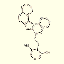 Oc1cccc(O)c1CCc1cc2ccccc2c2c1sc1ccc3ccccc3c12